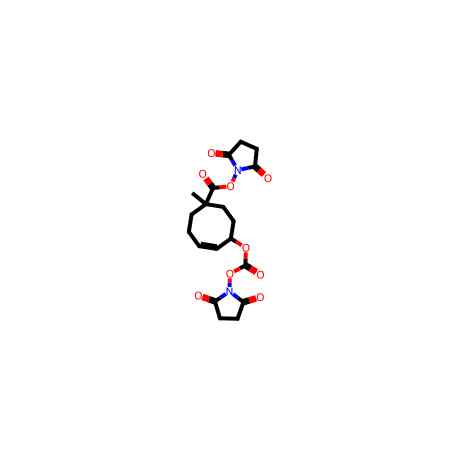 CC1(C(=O)ON2C(=O)CCC2=O)CCC=CC(OC(=O)ON2C(=O)CCC2=O)CC1